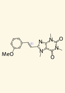 COc1cccc(/C=C/c2nc3c(c(=O)n(C)c(=O)n3C)n2C)c1